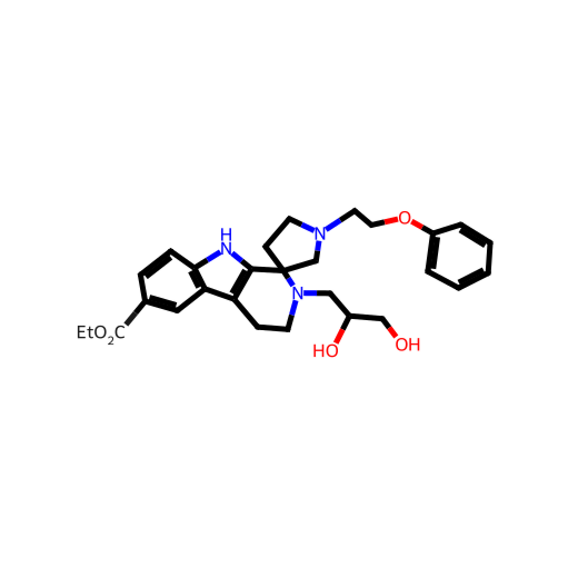 CCOC(=O)c1ccc2[nH]c3c(c2c1)CCN(CC(O)CO)C31CCN(CCOc2ccccc2)C1